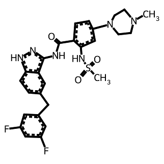 CN1CCN(c2ccc(C(=O)Nc3n[nH]c4ccc(Cc5cc(F)cc(F)c5)cc34)c(NS(C)(=O)=O)c2)CC1